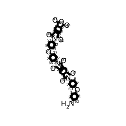 Nc1ccc(Oc2ccc(N3C(=O)C4C5C=CC(C4C3=O)C3C(=O)N(c4ccc(Oc6ccc(N7C(=O)C8C9C=CC(C%10C(=O)OC(=O)C9%10)C8C7=O)cc6)cc4)C(=O)C53)cc2)cc1